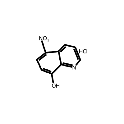 Cl.O=[N+]([O-])c1ccc(O)c2ncccc12